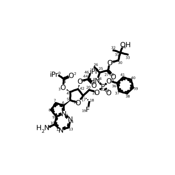 CC(C)C(=O)O[C@H]1[C@H](c2ccc3c(N)ncnn23)O[C@](CF)(COP(=O)(NC(C)C(=O)OCC(C)(C)O)Oc2ccccc2)[C@H]1OC(=O)C(C)C